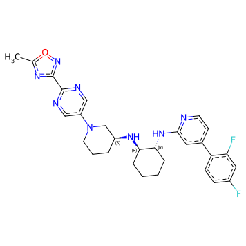 Cc1nc(-c2ncc(N3CCC[C@H](N[C@@H]4CCCC[C@H]4Nc4cc(-c5ccc(F)cc5F)ccn4)C3)cn2)no1